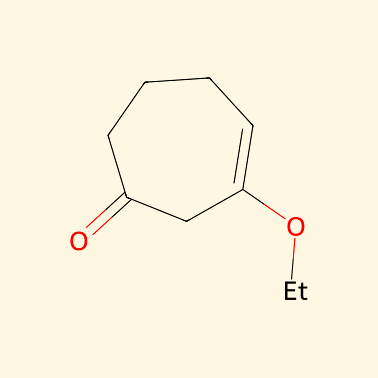 CCOC1=CCCCC(=O)C1